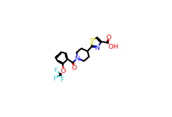 O=C(O)c1csc(C2CCN(C(=O)c3ccccc3OC(F)(F)F)CC2)n1